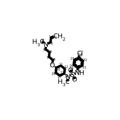 C=CCN(C)CCCCO[C@H]1CC[C@H](N(C)S(=O)(=O)Nc2ccc(Cl)cc2)CC1